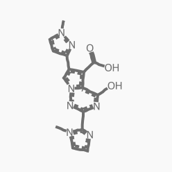 Cn1ccc(-c2cn3nc(-c4nccn4C)nc(O)c3c2C(=O)O)n1